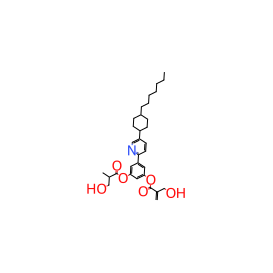 C=C(CO)C(=O)Oc1cc(OC(=O)C(C)CO)cc(-c2ccc(C3CCC(CCCCCCC)CC3)cn2)c1